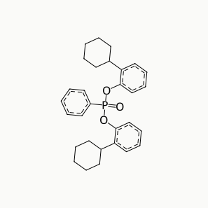 O=P(Oc1ccccc1C1CCCCC1)(Oc1ccccc1C1CCCCC1)c1ccccc1